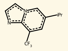 CC(C)c1cc(C(F)(F)F)c2nccn2c1